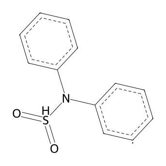 O=[SH](=O)N(c1c[c]ccc1)c1ccccc1